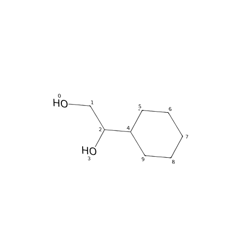 OCC(O)C1[CH]CCCC1